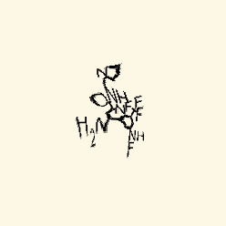 Nc1cc(C(=O)NCc2ccccn2)nc2c(C(F)(F)F)cc(NCF)cc12